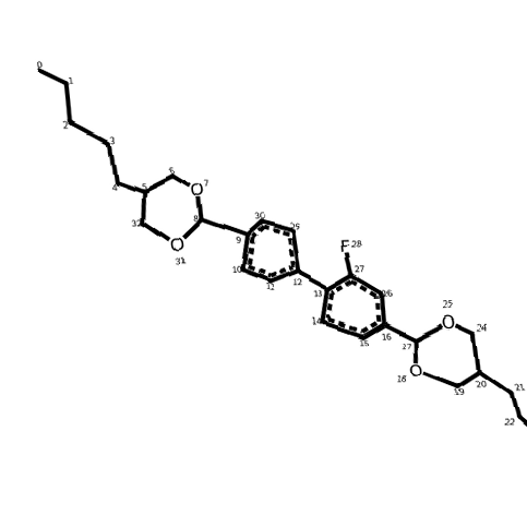 CCCCCC1COC(c2ccc(-c3ccc(C4OCC(CCC)CO4)cc3F)cc2)OC1